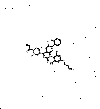 C=CC(=O)N1C[C@H](C)N(c2nc(=O)n(-c3c(C(C)C)nc(OCCOC)nc3C(C)C)c3nc(-c4ccccc4F)c(Cl)cc23)C[C@H]1C